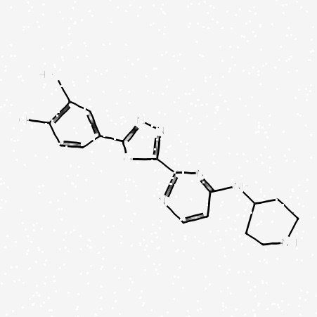 Cc1cc(-c2nnc(-c3nccc(NC4CCNCC4)n3)o2)ccc1Cl